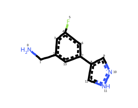 NCc1cc(F)cc(-c2cn[nH]c2)c1